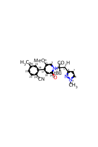 COc1cn(C(Cc2ccn(C)n2)(C(=O)O)C(C)(C)C)c(=O)cc1-c1cc(C)ccc1C#N